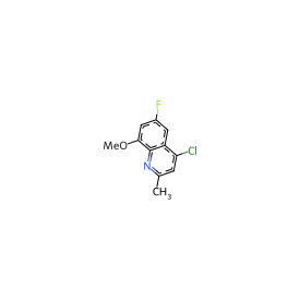 COc1cc(F)cc2c(Cl)cc(C)nc12